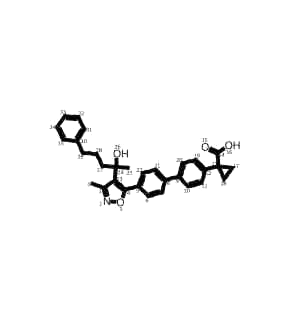 Cc1noc(-c2ccc(-c3ccc(C4(C(=O)O)CC4)cc3)cc2)c1C(C)(O)CCCc1ccccc1